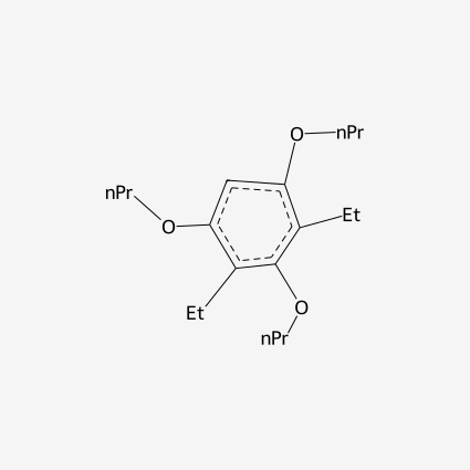 CCCOc1cc(OCCC)c(CC)c(OCCC)c1CC